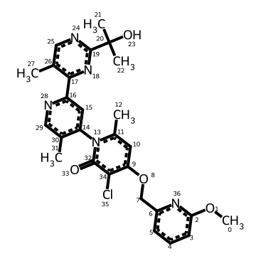 COc1cccc(COc2cc(C)n(-c3cc(-c4nc(C(C)(C)O)ncc4C)ncc3C)c(=O)c2Cl)n1